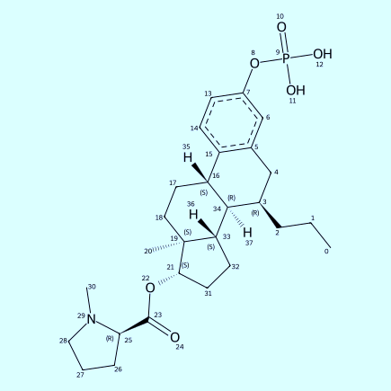 CCC[C@@H]1Cc2cc(OP(=O)(O)O)ccc2[C@H]2CC[C@]3(C)[C@@H](OC(=O)[C@H]4CCCN4C)CC[C@H]3[C@H]12